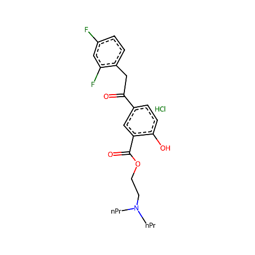 CCCN(CCC)CCOC(=O)c1cc(C(=O)Cc2ccc(F)cc2F)ccc1O.Cl